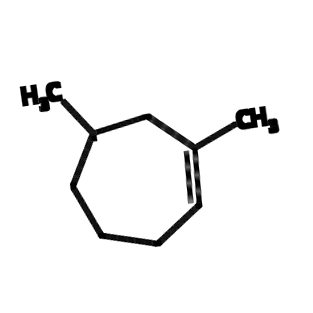 C[C]1CCCC=C(C)C1